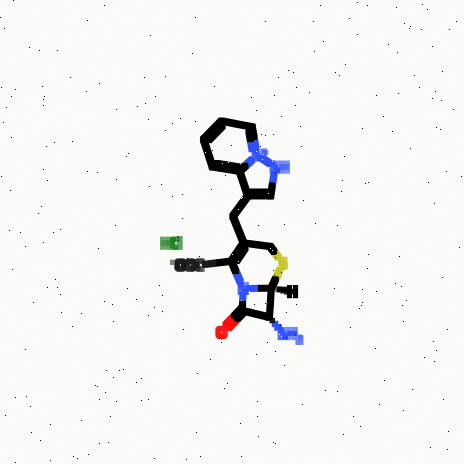 Cl.N[C@@H]1C(=O)N2C(C(=O)[O-])=C(Cc3c[nH][n+]4ccccc34)CS[C@@H]12